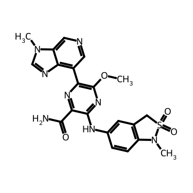 COc1nc(Nc2ccc3c(c2)CS(=O)(=O)N3C)c(C(N)=O)nc1-c1cncc2c1ncn2C